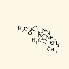 C=CC(=O)N1CCC[C@@H](n2nc(C(C)(CCCC)CCCCC)c3c(N)ncnc32)C1